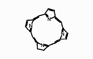 C1=CC2=NC1=CC1=NC(=CC3=NC(=CC4=NC(=C2)C=C4)CC3)C=C1